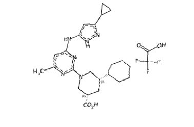 Cc1cc(Nc2cc(C3CC3)n[nH]2)nc(N2C[C@@H](C(=O)O)C[C@@H](C3CCCCC3)C2)n1.O=C(O)C(F)(F)F